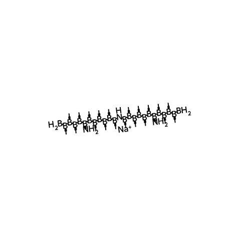 BB(I)B(I)B(I)B(I)B(N)B(I)B(I)B(I)B(I)B(I)B(I)NB(I)B(I)B(I)B(I)B(I)B(I)B(N)B(I)B(I)B(I)B(B)I.[Na+]